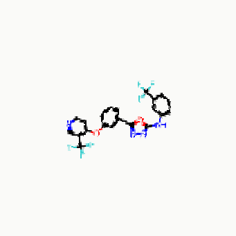 FC(F)(F)c1cccc(Nc2nnc(-c3cccc(Oc4ccncc4C(F)(F)F)c3)o2)c1